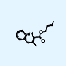 CC=CCOC(=O)c1nc2ccccc2cc1C